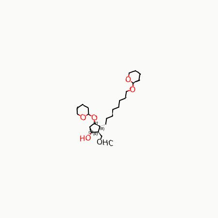 O=CC[C@@H]1[C@@H](CCCCCCCCOC2CCCCO2)[C@H](OC2CCCCO2)C[C@@H]1O